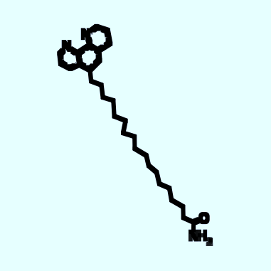 NC(=O)CCCCCCCCCCCCCCCCCc1cc2cccnc2c2ncccc12